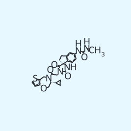 CNC(=O)Nc1ccc2c(c1)CC[C@@]21NC(=O)N(CC(=O)N2Cc3sccc3OC[C@H]2C2CC2)C1=O